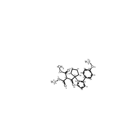 COC(=O)C(C(=O)OC)C(=O)C1(n2cccc2-c2ccc(OC)cc2)CCCC1